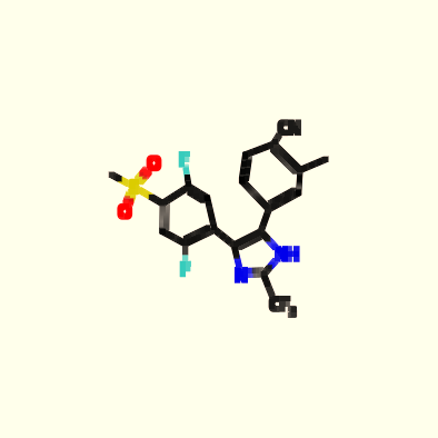 Cc1cc(-c2[nH]c(C(F)(F)F)nc2-c2cc(F)c(S(C)(=O)=O)cc2F)ccc1C#N